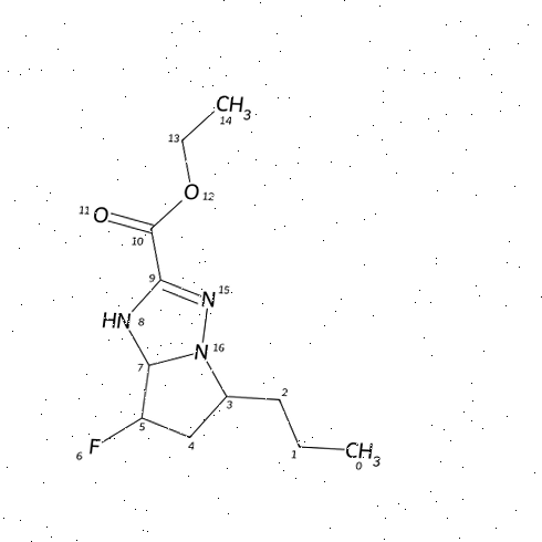 CCCC1CC(F)C2NC(C(=O)OCC)=NN12